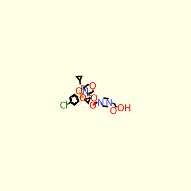 O=C(O)CN1CCN(C(=O)OC2([C@H]3COC[C@@H](CC4CC4)N3S(=O)(=O)c3ccc(Cl)cc3)CC2)CC1